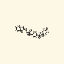 O=C(CSc1nc2ncccc2o1)Nc1ccc(S(=O)(=O)Nc2ccc(F)cc2)cc1